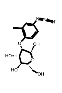 Cc1cc(N=[N+]=[N-])ccc1O[C@H]1[C@@H](O)[C@H](O)[C@@H](CO)O[C@@H]1O